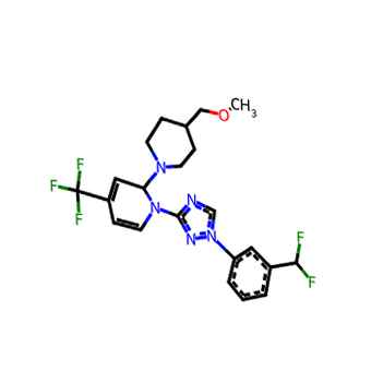 COCC1CCN(C2C=C(C(F)(F)F)C=CN2c2ncn(-c3cccc(C(F)F)c3)n2)CC1